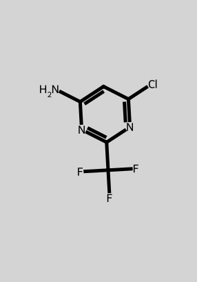 Nc1cc(Cl)nc(C(F)(F)F)n1